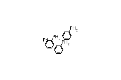 Pc1ccccc1.Pc1ccccc1.Pc1ccccc1.[Pd]